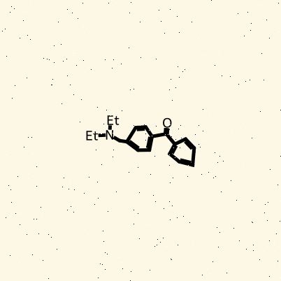 CCN(CC)Cc1ccc(C(=O)c2ccccc2)cc1